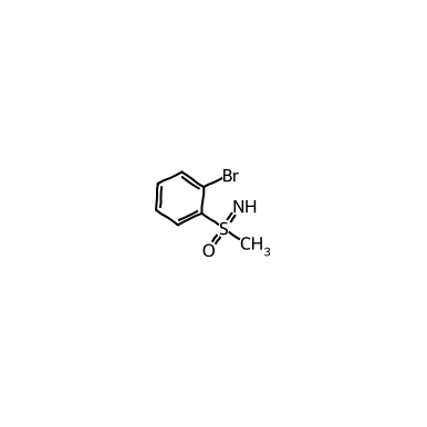 CS(=N)(=O)c1ccccc1Br